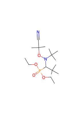 CCOP(=O)(OCC)C(N(OC(C)(C)C#N)C(C)(C)C)C(C)(C)C